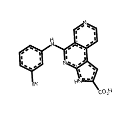 CC(C)c1cccc(Nc2nc3[nH]c(C(=O)O)cc3c3ccncc23)c1